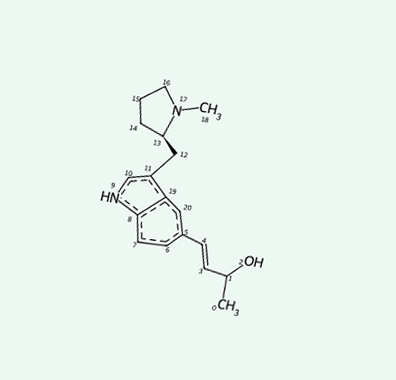 CC(O)C=Cc1ccc2[nH]cc(C[C@H]3CCCN3C)c2c1